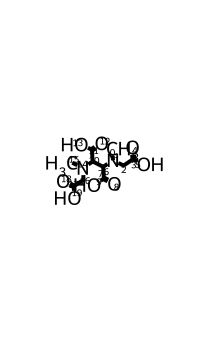 CN(CC(=O)O)C(C(=O)O)C(C(=O)O)N(C)CC(=O)O